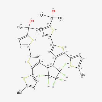 CC(C)(C)c1ccc(-c2sc(-c3ccc(C(C)(C)O)s3)cc2C2C(c3cc(-c4ccc(C(C)(C)O)s4)sc3-c3ccc(C(C)(C)C)s3)C(F)(F)C(F)(F)C2(F)F)s1